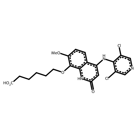 COc1ccc2c(Nc3c(Cl)cncc3Cl)cc(=O)[nH]c2c1OCCCCCC(=O)O